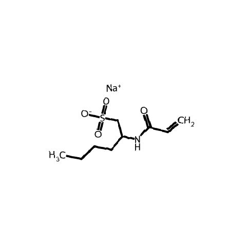 C=CC(=O)NC(CCCC)CS(=O)(=O)[O-].[Na+]